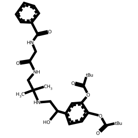 CC(C)(CNC(=O)CNC(=O)c1ccccc1)NCC(O)c1ccc(OC(=O)C(C)(C)C)c(OC(=O)C(C)(C)C)c1